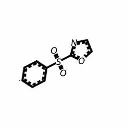 O=S(=O)(c1cc[c]cc1)c1ncco1